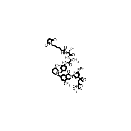 CCSc1cc(C2(Cc3nncn3C)COC2)cc(N2Cc3c(cc(C[N+]4(Cc5ccc(NC(=O)[C@H](C)NC(=O)[C@@H](NC(=O)CCCCCN6C(=O)C=CC6=O)C(C)C)cc5)CCC[C@H](C)C4)cc3C(F)(F)F)C2=O)n1